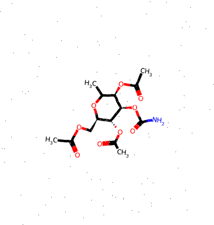 CC(=O)OC[C@H]1OC(C)[C@@H](OC(C)=O)[C@@H](OC(N)=O)[C@@H]1OC(C)=O